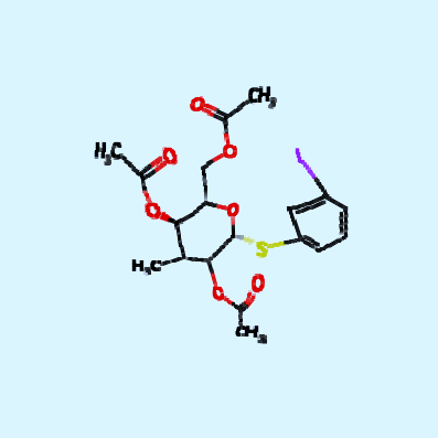 CC(=O)OCC1O[C@H](Sc2cccc(I)c2)C(OC(C)=O)C(C)[C@H]1OC(C)=O